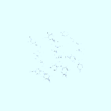 OC(CNCc1ccccc1)CN1CCN(CCCC(c2ccc(F)cc2)c2ccc(F)cc2)CC1.OC(CNc1ccc(Cl)c(Cl)c1)CN1CCN(CCCC(c2ccc(F)cc2)c2ccc(F)cc2)CC1.OC(CNc1ccc(Cl)cc1)CN1CCN(CCCC(c2ccc(F)cc2)c2ccc(F)cc2)CC1